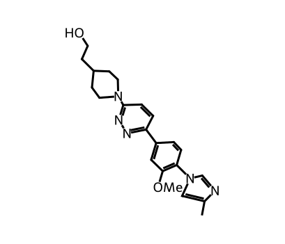 COc1cc(-c2ccc(N3CCC(CCO)CC3)nn2)ccc1-n1cnc(C)c1